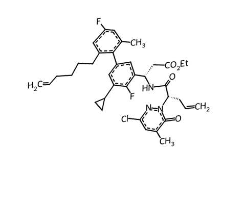 C=CCCCCc1cc(F)cc(C)c1-c1cc(C2CC2)c(F)c([C@H](CC(=O)OCC)NC(=O)[C@H](CC=C)n2nc(Cl)cc(C)c2=O)c1